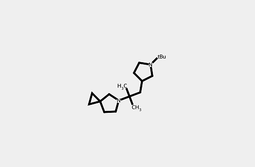 CC(C)(C)N1CCC(CC(C)(C)N2CCC3(CC3)C2)C1